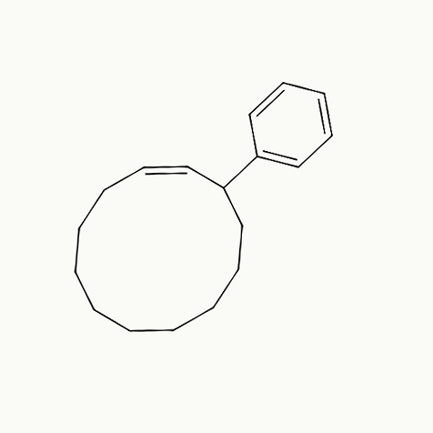 C1=CC(c2ccccc2)CCCCCCCCC1